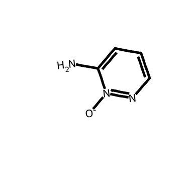 Nc1cccn[n+]1[O-]